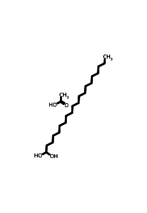 CC(=O)O.CCCCCCCCCCCCCCCCCCCC(O)O